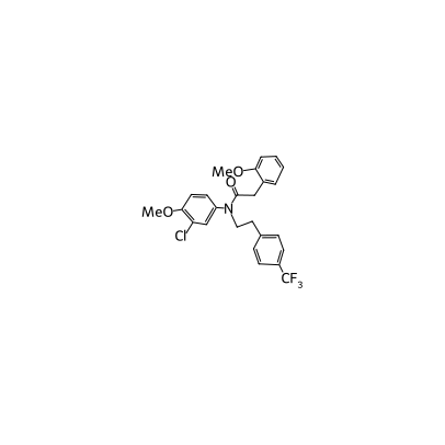 COc1ccc(N(CCc2ccc(C(F)(F)F)cc2)C(=O)Cc2ccccc2OC)cc1Cl